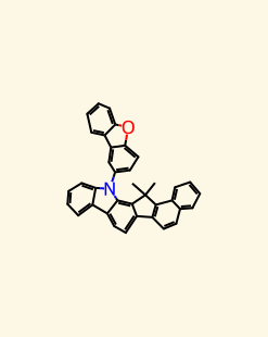 CC1(C)c2c(ccc3ccccc23)-c2ccc3c4ccccc4n(-c4ccc5oc6ccccc6c5c4)c3c21